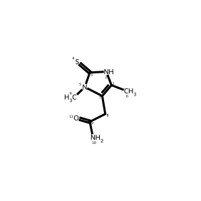 Cc1[nH]c(=S)n(C)c1CC(N)=O